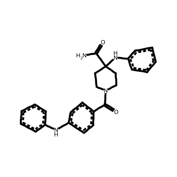 NC(=O)C1(Nc2ccccc2)CCN(C(=O)c2ccc(Nc3ccccc3)cc2)CC1